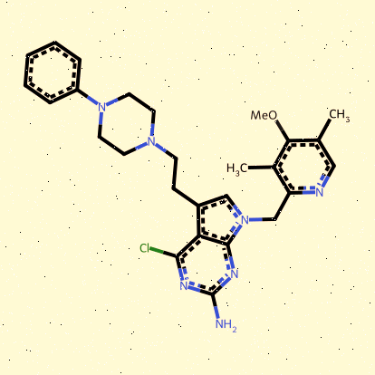 COc1c(C)cnc(Cn2cc(CCN3CCN(c4ccccc4)CC3)c3c(Cl)nc(N)nc32)c1C